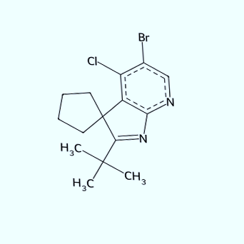 CC(C)(C)C1=Nc2ncc(Br)c(Cl)c2C12CCCC2